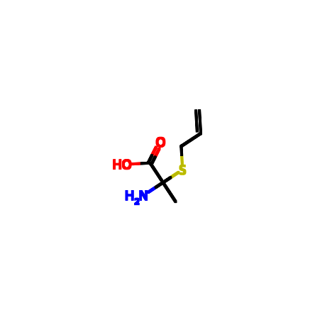 C=CCSC(C)(N)C(=O)O